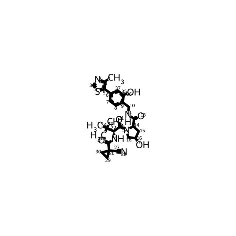 Cc1ncsc1-c1ccc(CNC(=O)C2CC(O)CN2C(=O)[C@@H](NC(=O)C2(C#N)CC2)C(C)(C)C)c(O)c1